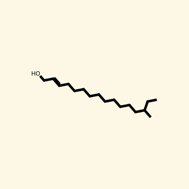 CCC(C)CCCCCCCCCC/C=C/CO